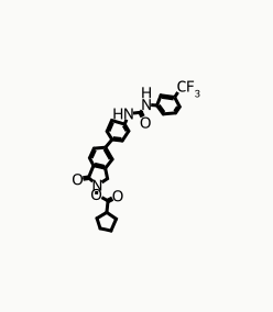 O=C(Nc1ccc(-c2ccc3c(c2)CN(OC(=O)C2CCCC2)C3=O)cc1)Nc1cccc(C(F)(F)F)c1